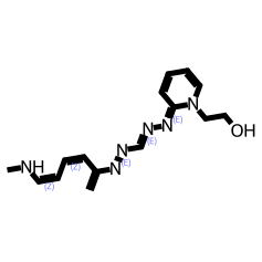 C=C(/C=C\C=C/NC)/N=N/C=N/N=c1\ccccn1CCO